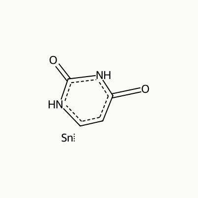 O=c1cc[nH]c(=O)[nH]1.[Sn]